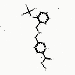 COC(=O)c1ccc(CNCc2ccccc2OC(F)(F)F)cn1